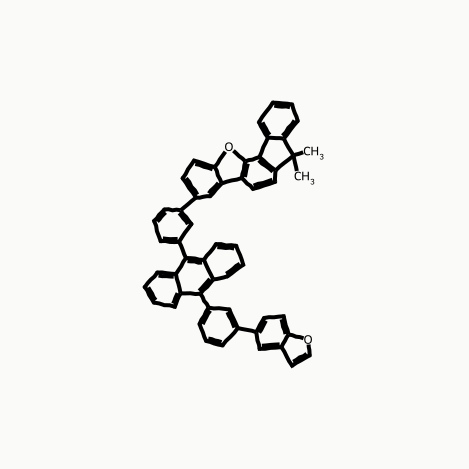 CC1(C)c2ccccc2-c2c1ccc1c2oc2ccc(-c3cccc(-c4c5ccccc5c(-c5cccc(-c6ccc7occc7c6)c5)c5ccccc45)c3)cc21